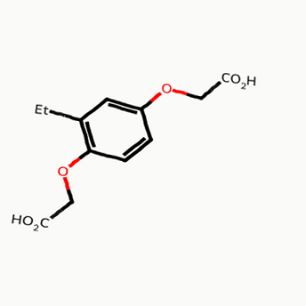 CCc1cc(OCC(=O)O)ccc1OCC(=O)O